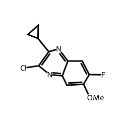 COc1cc2nc(Cl)c(C3CC3)nc2cc1F